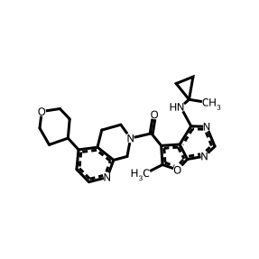 Cc1oc2ncnc(NC3(C)CC3)c2c1C(=O)N1CCc2c(C3CCOCC3)ccnc2C1